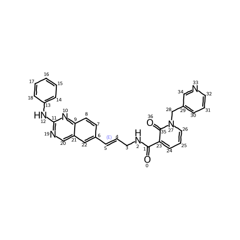 O=C(NC/C=C/c1ccc2nc(Nc3ccccc3)ncc2c1)c1cccn(Cc2cccnc2)c1=O